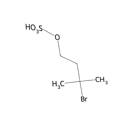 CC(C)(Br)CCOS(=O)(=O)O